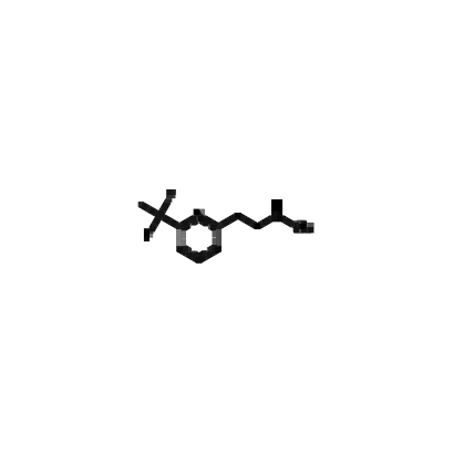 CC(C)(C)NCCc1cccc(C(C)(F)F)n1